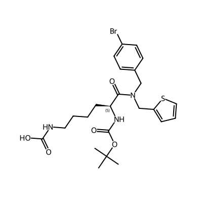 CC(C)(C)OC(=O)N[C@@H](CCCCNC(=O)O)C(=O)N(Cc1ccc(Br)cc1)Cc1cccs1